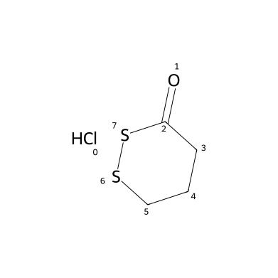 Cl.O=C1CCCSS1